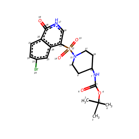 CC(C)(C)OC(=O)NC1CCN(S(=O)(=O)c2c[nH]c(=O)c3ccc(Br)cc23)CC1